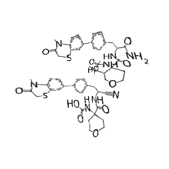 CN1C(=O)CSc2cc(-c3ccc(CC(C#N)NC(=O)C4(NC(=O)O)CCOCC4)cc3)ccc21.CN1C(=O)CSc2cc(-c3ccc(CC(NC(=O)C4(NC(=O)O)CCOCC4C(C)(C)C)C(N)=O)cc3)ccc21